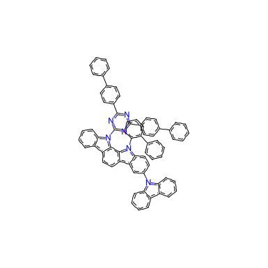 c1ccc(-c2ccc(-c3nc(-c4ccc(-c5ccccc5)cc4)nc(-n4c5ccccc5c5ccc6c7cc(-n8c9ccccc9c9ccccc98)ccc7n(-c7ccccc7-c7ccccc7)c6c54)n3)cc2)cc1